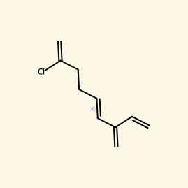 C=CC(=C)/C=C/CCC(=C)Cl